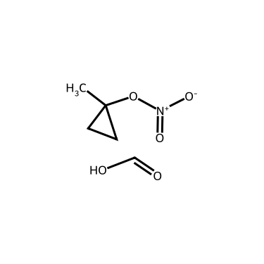 CC1(O[N+](=O)[O-])CC1.O=CO